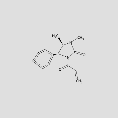 C=CC(=O)N1C(=O)N(C)[C@H](C)[C@@H]1c1ccccc1